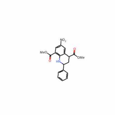 COC(=O)c1cc([N+](=O)[O-])cc2c1NC(c1ccccc1)CC2C(=O)OC